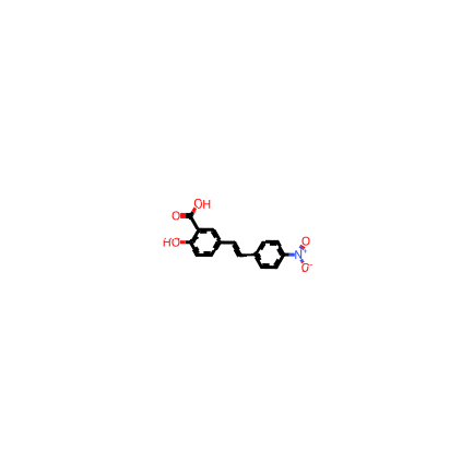 O=C(O)c1cc(C=Cc2ccc([N+](=O)[O-])cc2)ccc1O